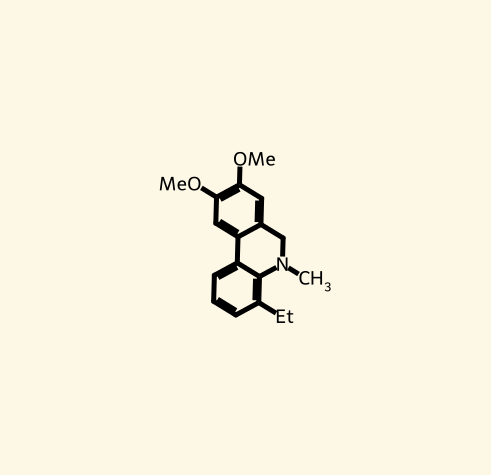 CCc1cccc2c1N(C)Cc1cc(OC)c(OC)cc1-2